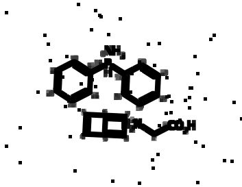 N.NCC(=O)O.c1cc2ccc1-2.c1ccc(Pc2ccccc2)cc1